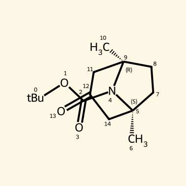 CC(C)(C)OC(=O)N1[C@@]2(C)CC[C@]1(C)CC(=O)C2